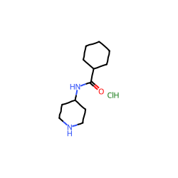 Cl.O=C(NC1CCNCC1)C1CCCCC1